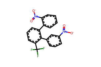 O=[N+]([O-])c1cccc(-c2c(-c3ccccc3[N+](=O)[O-])[c]ccc2C(F)(F)F)c1